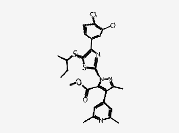 CCC(C)Sc1sc(-n2nc(C)c(-c3cc(C)nc(C)c3)c2C(=O)OC)nc1-c1ccc(Cl)c(Cl)c1